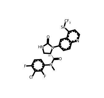 CN(C(=O)[C@@H]1CNC(=O)N1c1ccc2nccc([Se]C(F)(F)F)c2c1)c1ccc(F)c(Cl)c1F